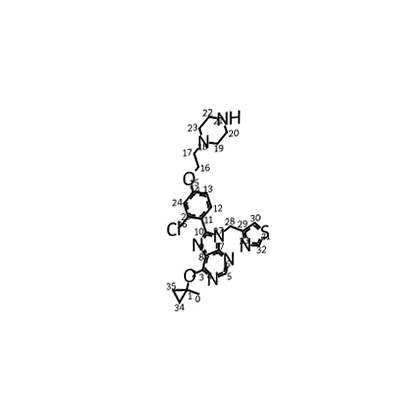 CC1(Oc2ncnc3c2nc(-c2ccc(OCCN4CCNCC4)cc2Cl)n3Cc2cscn2)CC1